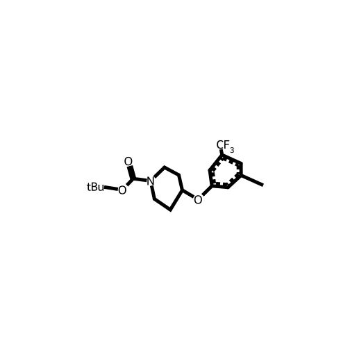 Cc1cc(OC2CCN(C(=O)OC(C)(C)C)CC2)cc(C(F)(F)F)c1